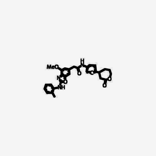 COc1cc(CC(=O)Nc2ccc(C3CCCOC(=O)C3)cc2)cc2oc(Nc3ccccc3C)nc12